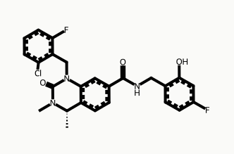 C[C@H]1c2ccc(C(=O)NCc3ccc(F)cc3O)cc2N(Cc2c(F)cccc2Cl)C(=O)N1C